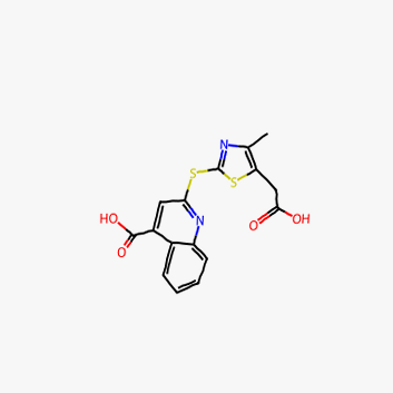 Cc1nc(Sc2cc(C(=O)O)c3ccccc3n2)sc1CC(=O)O